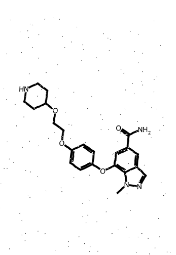 Cn1ncc2cc(C(N)=O)cc(Oc3ccc(OCCOC4CCNCC4)cc3)c21